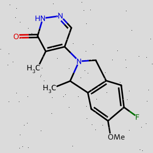 COc1cc2c(cc1F)CN(c1cn[nH]c(=O)c1C)C2C